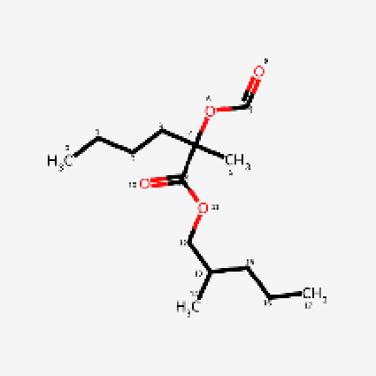 CCCCC(C)(O[C]=O)C(=O)OCC(C)CCC